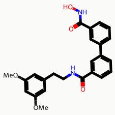 COc1cc(CCNC(=O)c2cccc(-c3cccc(C(=O)NO)c3)c2)cc(OC)c1